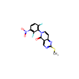 CSc1ncc2c(=O)n(-c3c(F)ccc([N+](=O)[O-])c3F)ccc2n1